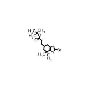 CC(C)(C)OC(=O)CCC1Cc2sc(Br)nc2C(C)(C)C1